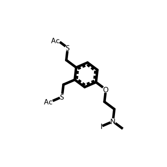 CC(=O)SCc1ccc(OCCN(C)I)cc1CSC(C)=O